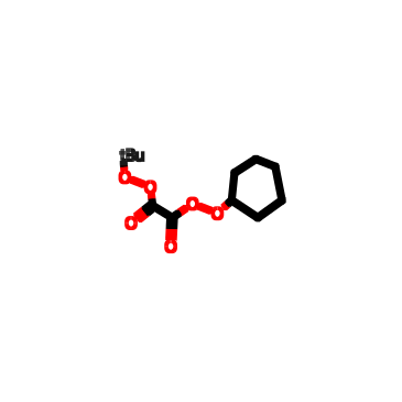 CC(C)(C)OOC(=O)C(=O)OOC1CCCCC1